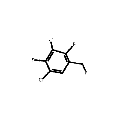 FCc1cc(Cl)c(F)c(Cl)c1F